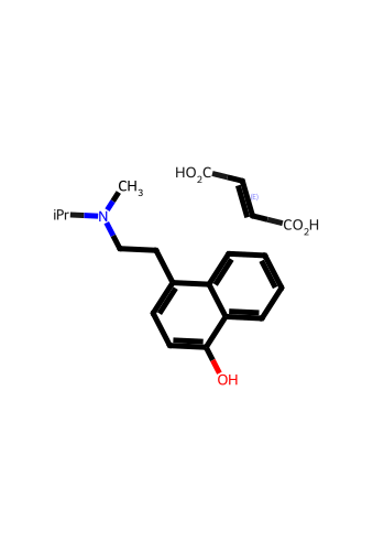 CC(C)N(C)CCc1ccc(O)c2ccccc12.O=C(O)/C=C/C(=O)O